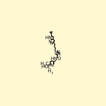 CC(C)(O)c1ccc(CNC(=O)c2cn(CCCCc3cc4cc(C5CC5)[nH]c4nn3)nn2)cn1